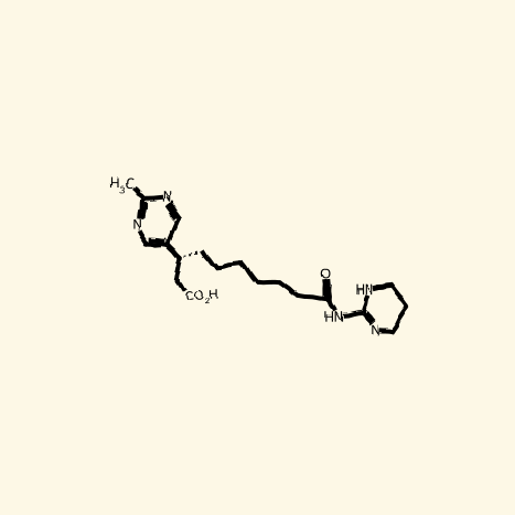 Cc1ncc([C@H](CCCCCCC(=O)NC2=NCCCN2)CC(=O)O)cn1